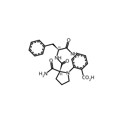 NC(=O)[C@H](Cc1ccccc1)NC(=O)[C@]1(C(N)=O)CCCN1c1ccccc1C(=O)O